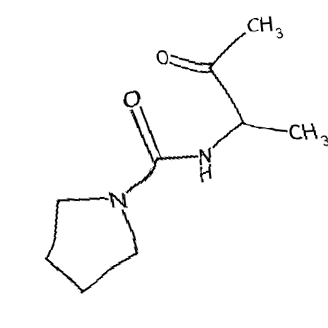 CC(=O)C(C)NC(=O)N1CCCC1